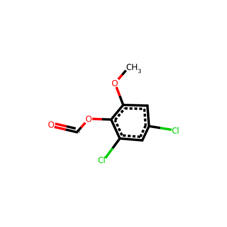 COc1cc(Cl)cc(Cl)c1O[C]=O